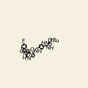 CC(C)(C)OC(=O)NC(=N)c1ccc(CNC(=O)[C@@H]2CCc3ncc(NS(=O)(=O)c4ccc(F)cc4)c(=O)n32)cc1